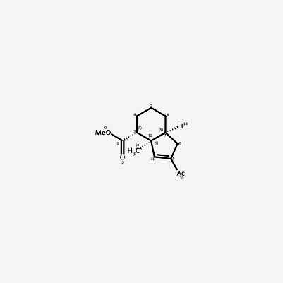 COC(=O)[C@@H]1CCC[C@H]2CC(C(C)=O)=C[C@]21C